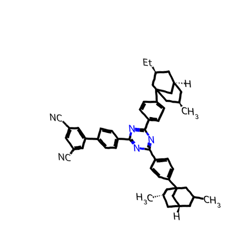 CC[C@H]1C[C@H]2C[C@@H](C)CC(c3ccc(-c4nc(-c5ccc(-c6cc(C#N)cc(C#N)c6)cc5)nc(-c5ccc(C67CC(C)C[C@H](C[C@H](C)C6)C7)cc5)n4)cc3)(C2)C1